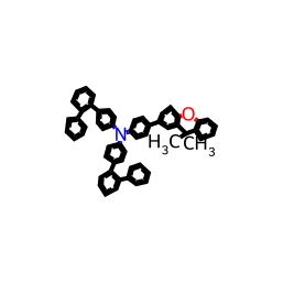 CC1(C)c2ccccc2Oc2ccc(-c3ccc(N(c4ccc(-c5ccccc5-c5ccccc5)cc4)c4ccc(-c5ccccc5-c5ccccc5)cc4)cc3)cc21